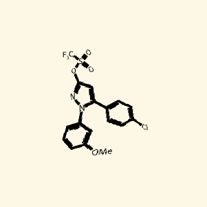 COc1cccc(-n2nc(OS(=O)(=O)C(F)(F)F)cc2-c2ccc(Cl)cc2)c1